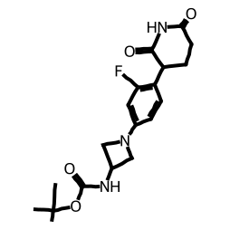 CC(C)(C)OC(=O)NC1CN(c2ccc(C3CCC(=O)NC3=O)c(F)c2)C1